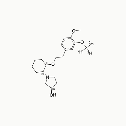 [2H]C([2H])([2H])Oc1cc(CCO[C@@H]2CCCC[C@H]2N2CC[C@@H](O)C2)ccc1OC